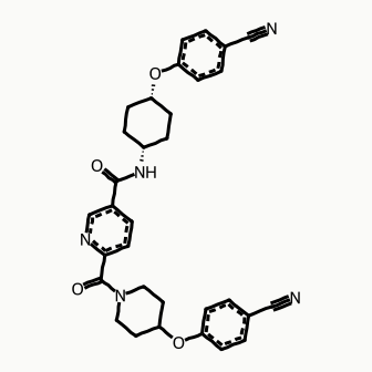 N#Cc1ccc(OC2CCN(C(=O)c3ccc(C(=O)N[C@H]4CC[C@@H](Oc5ccc(C#N)cc5)CC4)cn3)CC2)cc1